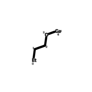 CCCC[O][Ga]